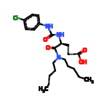 CCCCCN(CCCCC)C(=O)[C@H](CCC(=O)O)NC(=O)Nc1ccc(Cl)cc1